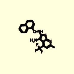 Cc1cc(C(F)(F)F)c2c(N)c(NOc3cccc4ccccc34)sc2n1